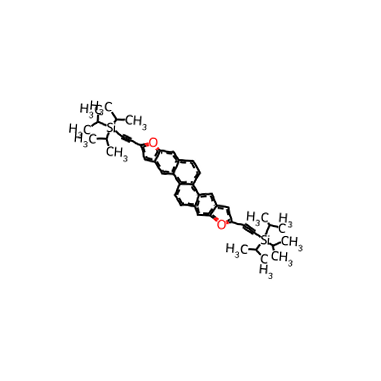 CC(C)[Si](C#Cc1cc2cc3c(ccc4c5cc6cc(C#C[Si](C(C)C)(C(C)C)C(C)C)oc6cc5ccc34)cc2o1)(C(C)C)C(C)C